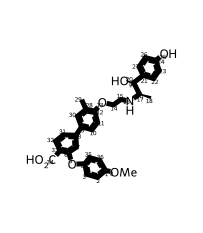 COc1ccc(Oc2cc(-c3ccc(OCCN[C@H](C)[C@H](O)c4ccc(O)cc4)c(C)c3)ccc2C(=O)O)cc1